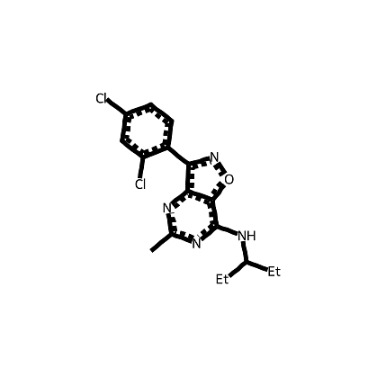 CCC(CC)Nc1nc(C)nc2c(-c3ccc(Cl)cc3Cl)noc12